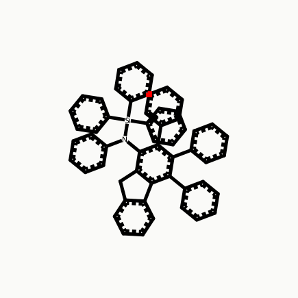 c1ccc(-c2c3c(c(N(c4ccccc4)[Si](c4ccccc4)(c4ccccc4)c4ccccc4)c(-c4ccccc4)c2-c2ccccc2)Cc2ccccc2-3)cc1